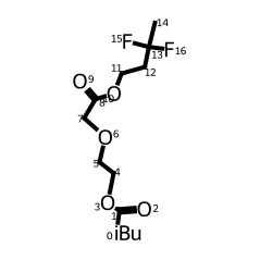 CCC(C)C(=O)OCCOCC(=O)OCCC(C)(F)F